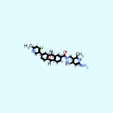 Cc1cc(F)c(-c2ccc3c(c2)[C@H]2O[C@@H]3c3ccc(C(=O)NCc4c(C(C)C)cc(N)nc4C)cc32)cn1